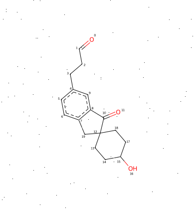 O=CCCc1ccc2c(c1)C(=O)C1(CCC(O)CC1)C2